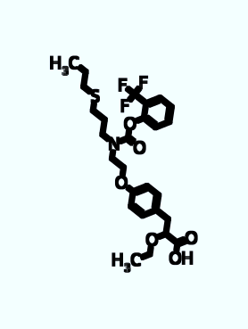 CCCSCCCN(CCOc1ccc(CC(OCC)C(=O)O)cc1)C(=O)Oc1ccccc1C(F)(F)F